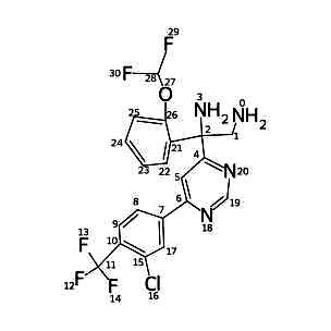 NCC(N)(c1cc(-c2ccc(C(F)(F)F)c(Cl)c2)ncn1)c1ccccc1OC(F)F